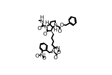 CNC(=O)N1C(=O)[C@H](CCCCc2noc(=O)n2Cc2ccccc2[N+](=O)[O-])[C@@H]2[C@@H]1CCN2C(=O)OCc1ccccc1